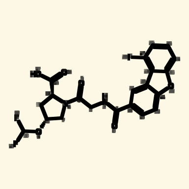 O=C(NCC(=O)N1C[C@H](OC(F)F)C[C@H]1C(=O)O)c1ccc2oc3cccc(F)c3c2c1